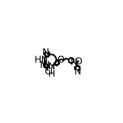 O=C(c1ccncc1)N1CCC(CCOc2ccc3cc2CCc2cncc(c2)Nc2ncc(Cl)c(n2)N3)CC1